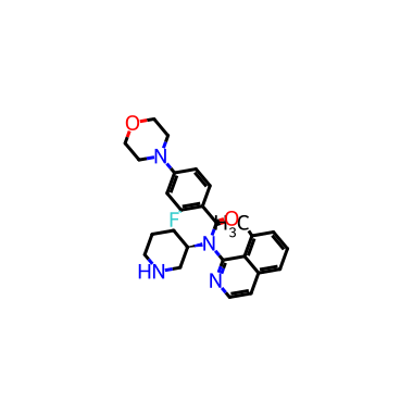 Cc1cccc2ccnc(N(C(=O)c3ccc(N4CCOCC4)cc3F)[C@@H]3CCCNC3)c12